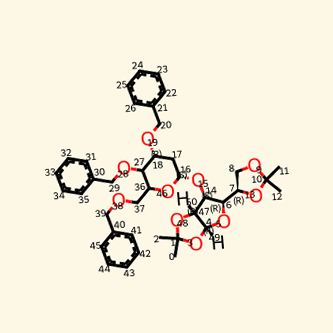 CC1(C)O[C@H]2O[C@H]([C@H]3COC(C)(C)O3)[C@H](O[C@H]3C[C@@H](OCc4ccccc4)C(OCc4ccccc4)C(COCc4ccccc4)O3)[C@H]2O1